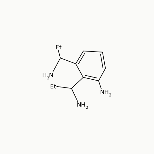 CCC(N)c1cccc(N)c1C(N)CC